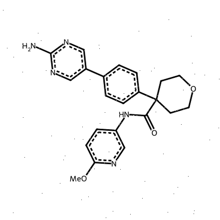 COc1ccc(NC(=O)C2(c3ccc(-c4cnc(N)nc4)cc3)CCOCC2)cn1